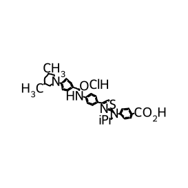 CC1CC(C)CN(c2ccc(C(=O)Nc3ccc(-c4csc(N(c5ccc(C(=O)O)cc5)C(C)C)n4)cc3)cc2)C1.Cl